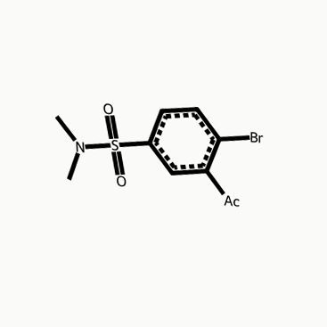 CC(=O)c1cc(S(=O)(=O)N(C)C)ccc1Br